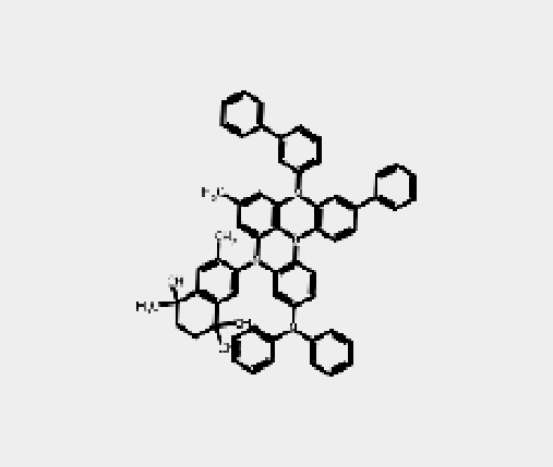 Cc1cc2c3c(c1)N(c1cc4c(cc1C)C(C)(C)CCC4(C)C)c1cc(N(c4ccccc4)c4ccccc4)ccc1B3c1ccc(-c3ccccc3)cc1N2c1cccc(-c2ccccc2)c1